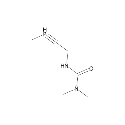 C[PH]#CCNC(=O)N(C)C